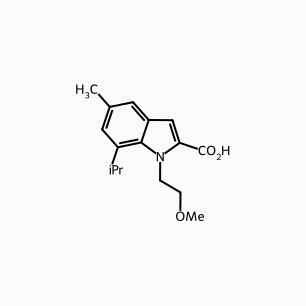 COCCn1c(C(=O)O)cc2cc(C)cc(C(C)C)c21